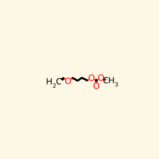 C=COCCCCOC(=O)OC